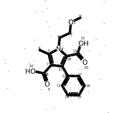 COCCn1c(C)c(C(=O)O)c(-c2ccccc2)c1C(=O)O